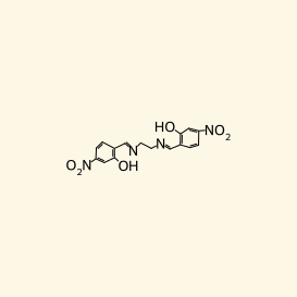 O=[N+]([O-])c1ccc(C=NCCN=Cc2ccc([N+](=O)[O-])cc2O)c(O)c1